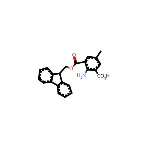 Cc1cc(C(=O)O)c(N)c(C(=O)OCC2c3ccccc3-c3ccccc32)c1